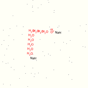 O.O.O.O.O.O.O.O.O.O.[NaH].[NaH]